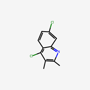 Cc1nc2cc(Cl)ccc2c(Cl)c1C